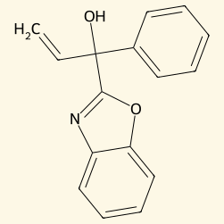 C=CC(O)(c1ccccc1)c1nc2ccccc2o1